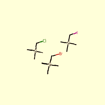 C[Si](C)(C)CBr.C[Si](C)(C)CCl.C[Si](C)(C)CI